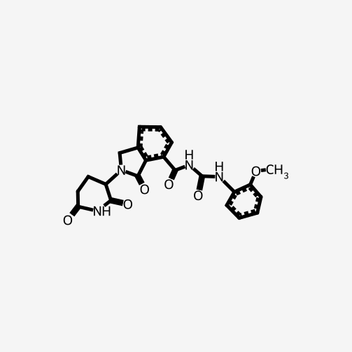 COc1ccccc1NC(=O)NC(=O)c1cccc2c1C(=O)N(C1CCC(=O)NC1=O)C2